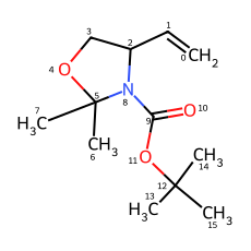 C=CC1COC(C)(C)N1C(=O)OC(C)(C)C